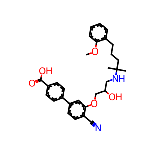 COc1ccccc1CCCC(C)(C)NCC(O)COc1cc(-c2ccc(C(=O)O)cc2)ccc1C#N